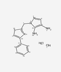 Cl.Cl.Nc1cnn(Cc2nc(-c3ccccc3)cs2)c1N